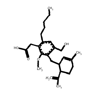 C=C(C)C1CCC(C)=CC1Cc1c(CO)cc(CCCCC)c(CC(=O)O)c1OC